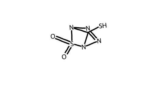 O=S1(=O)N2N=NN1C2S